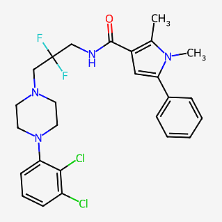 Cc1c(C(=O)NCC(F)(F)CN2CCN(c3cccc(Cl)c3Cl)CC2)cc(-c2ccccc2)n1C